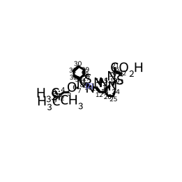 C[Si](C)(C)CCOCn1/c(=N/c2cc3c(nn2)N(c2nc(C(=O)O)cs2)CCC3)sc2ccccc21